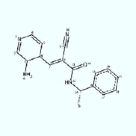 BC1C=NC=CC1/C=C(\C#N)C(=O)N[C@@H](C)c1ccccc1